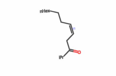 CCCCCCCC/C=C\CC(=O)C(C)C